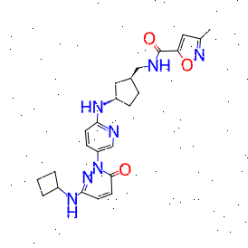 Cc1cc(C(=O)NC[C@H]2CC[C@@H](Nc3ccc(-n4nc(NC5CCC5)ccc4=O)cn3)C2)on1